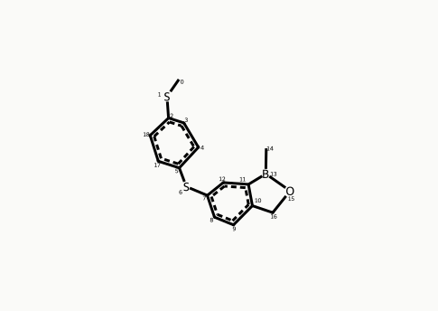 CSc1ccc(Sc2ccc3c(c2)B(C)OC3)cc1